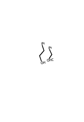 CC(C)CC=O.CC(C)CCO